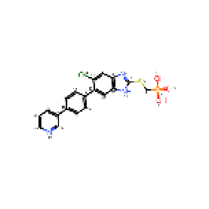 O=P(O)(O)CSc1nc2cc(Cl)c(-c3ccc(-c4cccnc4)cc3)cc2[nH]1